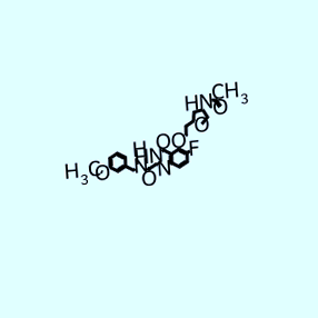 COc1cccc(CNC(=O)c2nc3ccc(F)c(OCCC4CC(NC(C)=O)CO4)c3c(=O)[nH]2)c1